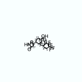 C[C@]1(Cc2ccc(C(F)(F)F)c(F)c2)C[C@@H](c2cc(=O)[nH]o2)CCN1C(=O)O